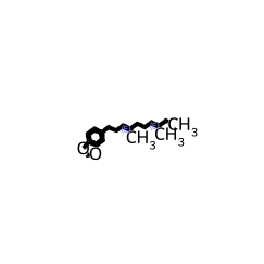 CC/C(C)=C/CC/C(C)=C/CCc1ccc2c(c1)OCO2